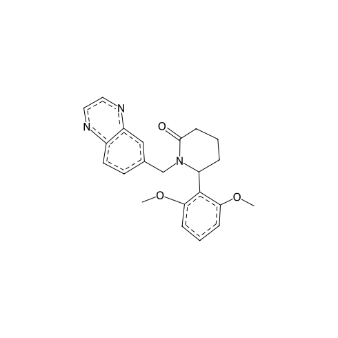 COc1cccc(OC)c1C1CCCC(=O)N1Cc1ccc2nccnc2c1